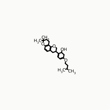 CC(C)CCOC1=CC=C(C2COc3c(ccc4c3CCC(C)(C)O4)C2)C(O)C1